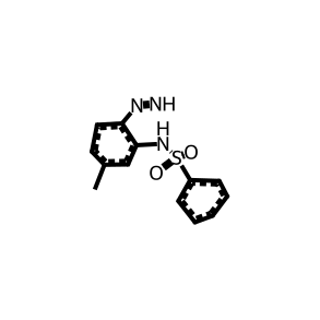 Cc1ccc(N=N)c(NS(=O)(=O)c2ccccc2)c1